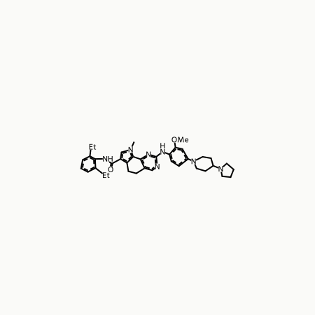 CCc1cccc(CC)c1NC(=O)c1cn(C)c2c1CCc1cnc(Nc3ccc(N4CCC(N5CCCC5)CC4)cc3OC)nc1-2